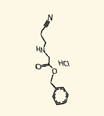 Cl.N#CCCNCC(=O)OCc1ccccc1